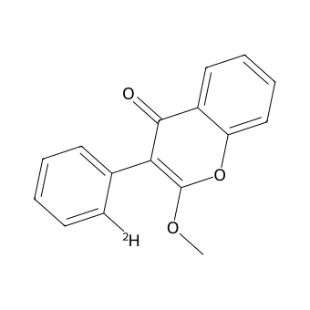 [2H]c1ccccc1-c1c(OC)oc2ccccc2c1=O